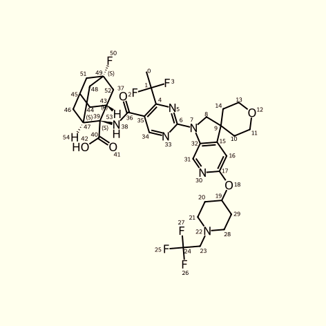 CC(F)(F)c1nc(N2CC3(CCOCC3)c3cc(OC4CCN(CC(F)(F)F)CC4)ncc32)ncc1C(=O)N[C@]1(C(=O)O)[C@@H]2CC3C[C@H]1C[C@@](F)(C3)C2